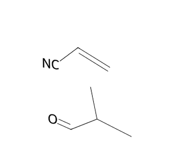 C=CC#N.CC(C)C=O